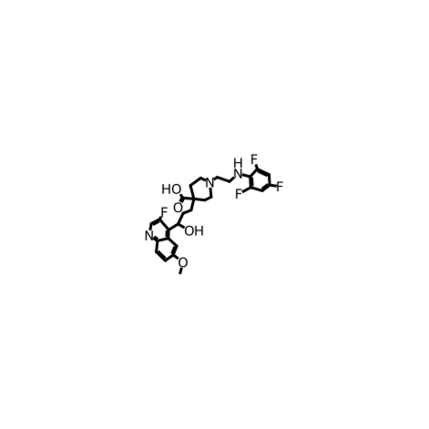 COc1ccc2ncc(F)c(C(O)CCC3(C(=O)O)CCN(CCNc4c(F)cc(F)cc4F)CC3)c2c1